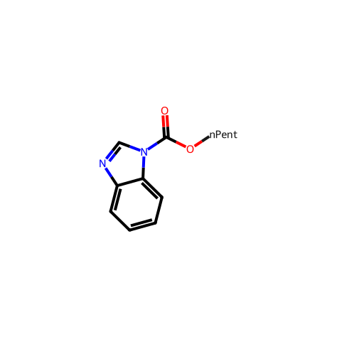 CCCCCOC(=O)n1cnc2ccccc21